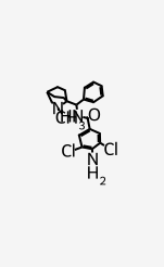 CN1CC2CCC1(C(NC(=O)c1cc(Cl)c(N)c(Cl)c1)c1ccccc1)CC2